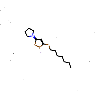 CCCCCCCSc1cc(=[N+]2CCCC2)ss1.[I-]